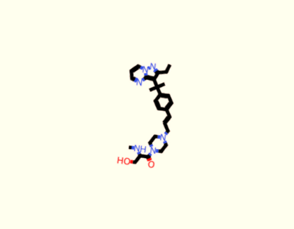 CCc1nn2cccnc2c1C(C)(C)c1ccc(C=CCN2CCN(C(=O)C(CO)NC)CC2)cc1